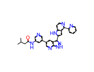 CC(C)CC(=O)Nc1cncc(-c2cnc3[nH]nc(-c4cc5c(-c6ccccn6)nccc5[nH]4)c3c2)c1